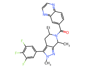 CCC1Cc2c(nn(C)c2-c2cc(F)c(F)c(F)c2)C(C)N1C(=O)c1ccc2nccnc2c1